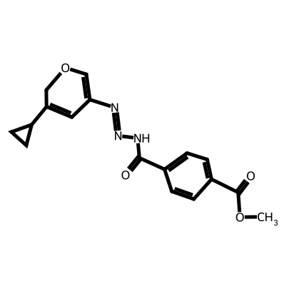 COC(=O)c1ccc(C(=O)NN=NC2=COCC(C3CC3)=C2)cc1